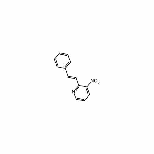 O=[N+]([O-])c1cccnc1C=Cc1ccccc1